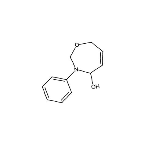 OC1C=CCOCN1c1ccccc1